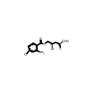 Nc1cc(Cl)ccc1C(=O)OC[C@H](Br)C[C@H](F)C=O